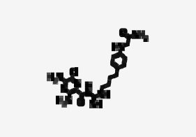 N=C(NCCCCc1ccc(NCC(N)=O)cc1)NC(=O)c1nc(Cl)c(N)nc1N